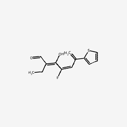 C=C(/C=C(F)\C(O)=C(\C=O)CC)c1cccs1